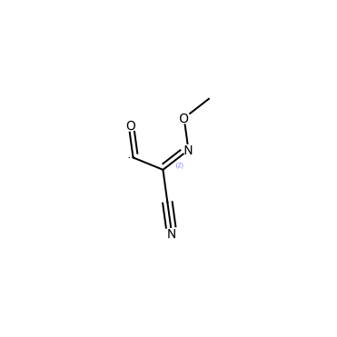 CO/N=C(\[C]=O)C#N